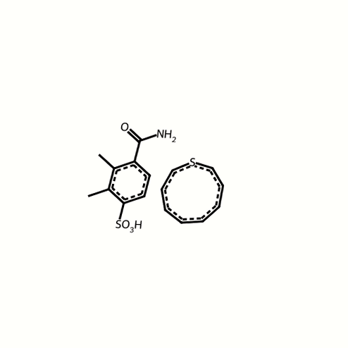 Cc1c(C(N)=O)ccc(S(=O)(=O)O)c1C.c1ccccsccc1